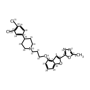 Cc1nnc(-c2cc3c(OCCCN4CCC(c5ccc(Cl)c(Cl)c5)CC4)cccc3o2)o1